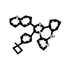 CC1(c2ccc(-c3c(-c4ccc5ncccc5c4)nc4n3-c3cccnc3Nc3ccccc3-4)cc2)CCC1